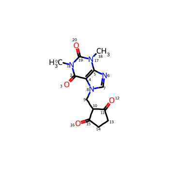 Cn1c(=O)c2c(ncn2CC2C(=O)CCC2=O)n(C)c1=O